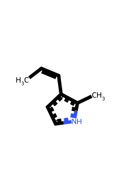 C/C=C\c1cc[nH]c1C